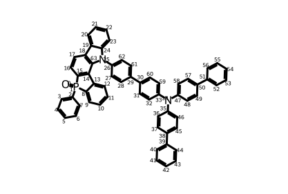 O=P1(c2ccccc2)c2ccccc2-c2c1ccc1c3ccccc3n(-c3ccc(-c4ccc(N(c5ccc(-c6ccccc6)cc5)c5ccc(-c6ccccc6)cc5)cc4)cc3)c21